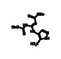 COC(=O)/N=C(\NC(=O)OC)Nc1cn[nH]c1C(=O)O